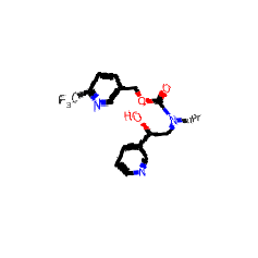 CCCN(CC(O)c1cccnc1)C(=O)OCc1ccc(C(F)(F)F)nc1